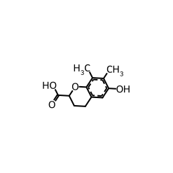 Cc1c(O)cc2c(c1C)OC(C(=O)O)CC2